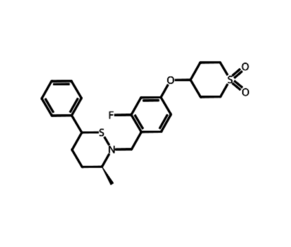 C[C@H]1CCC(c2ccccc2)SN1Cc1ccc(OC2CCS(=O)(=O)CC2)cc1F